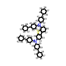 c1ccc(-c2ccc(N(c3ccc(-c4ccccc4)cc3)c3ccc4c(c3)sc3c(N(c5ccc(-c6ccccc6)cc5)c5ccc(-c6ccccc6)cc5)cccc34)cc2)cc1